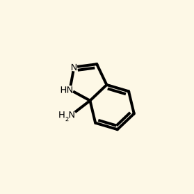 NC12C=C=CC=C1C=NN2